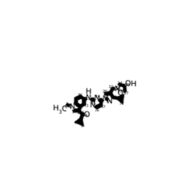 CCn1cc(C(=O)C2CC2)c2cc(Nc3nccc(-n4cc(CN5CC(O)CO5)c(C5CC5)n4)n3)ccc21